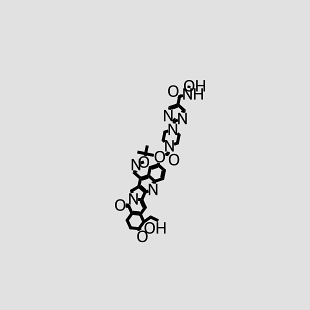 CC[C@@]1(O)C(=O)CCc2c1cc1n(c2=O)Cc2c-1nc1ccc(OC(=O)N3CCN(c4ncc(C(=O)NO)cn4)CC3)cc1c2/C=N\OC(C)(C)C